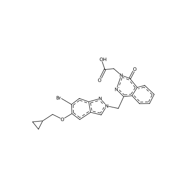 O=C(O)Cn1nc(Cn2cc3cc(OCC4CC4)c(Br)cc3n2)c2ccccc2c1=O